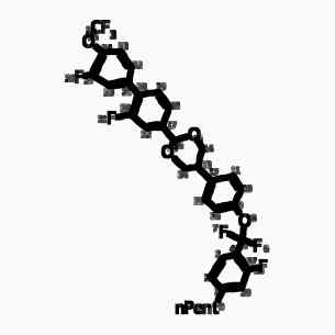 CCCCCc1ccc(C(F)(F)Oc2ccc(C3COC(c4ccc(-c5ccc(OC(F)(F)F)c(F)c5)c(F)c4)OC3)cc2)c(F)c1